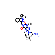 CC#CCn1c(N2CCCC(N)C2)nc2c1c(=O)n(Cc1nnc(C)c3ccccc13)c(=O)n2C